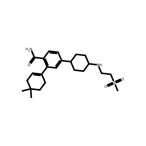 CC1(C)CC=C(c2cc(C3CCC(NCCS(C)(=O)=O)CC3)ccc2C(N)=O)CC1